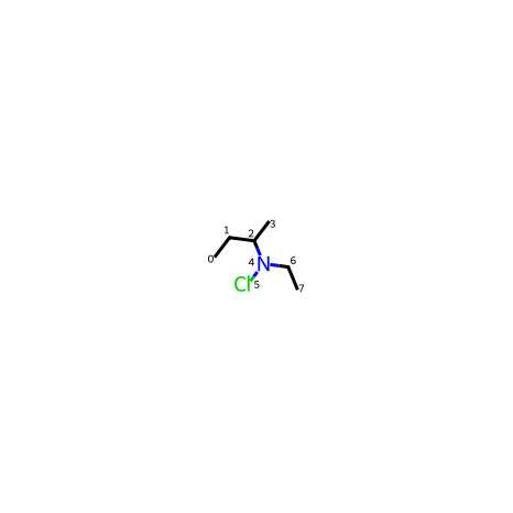 CCC(C)N(Cl)CC